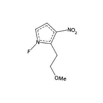 COCCc1c([N+](=O)[O-])ccn1F